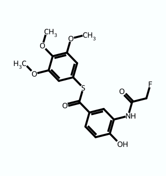 COc1cc(SC(=O)c2ccc(O)c(NC(=O)CF)c2)cc(OC)c1OC